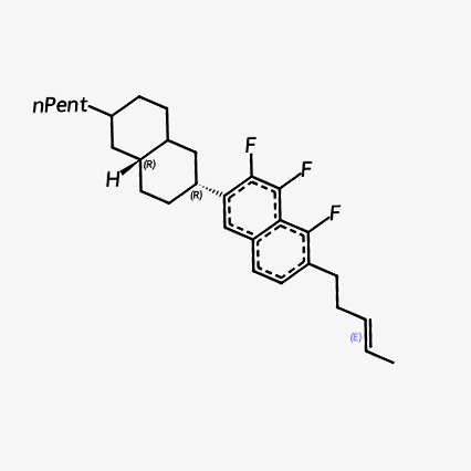 C/C=C/CCc1ccc2cc([C@@H]3CC[C@@H]4CC(CCCCC)CCC4C3)c(F)c(F)c2c1F